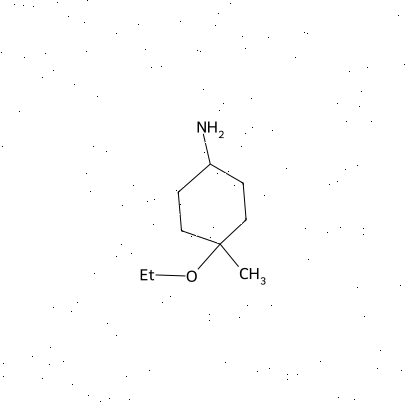 CCOC1(C)CCC(N)CC1